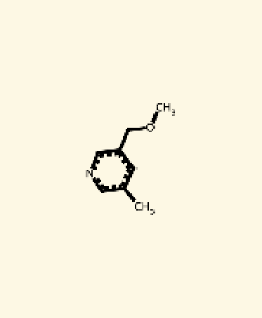 COCc1[c]c(C)cnc1